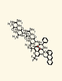 N=C(N)NC(NC(=O)C(NC(=N)N)NC(=O)C(NC(=N)N)NC(=O)C(NC(=N)N)NC(=O)C(NC(=O)C(O)N(Cc1c2ccccc2cc2ccccc12)c1cc(C(F)(F)F)nc2c(C(F)(F)F)cccc12)c1ccccc1)C(N)=O